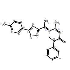 C=C(/N=C(N)\N=C(/N)c1noc(-c2ccc(C(F)(F)F)nc2)n1)N(C)c1ccccc1